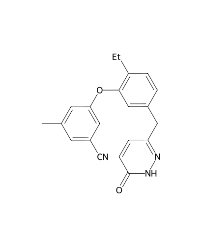 CCc1ccc(Cc2ccc(=O)[nH]n2)cc1Oc1cc(C)cc(C#N)c1